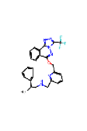 CC(CNCc1cccc(COc2nn3c(C(F)(F)F)nnc3c3ccccc23)n1)c1ccccc1